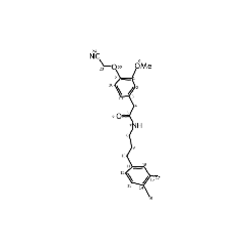 COc1cc(CC(=O)NCCCc2ccc(C)c(C)c2)ccc1OCC#N